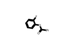 CC(C)C(=O)Oc1ccccc1F